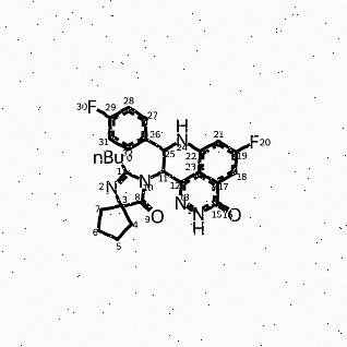 CCCCC1=NC2(CCCC2)C(=O)N1C1c2n[nH]c(=O)c3cc(F)cc(c23)NC1c1ccc(F)cc1